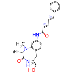 CC(C)C1C(=O)N[C@H](CO)Cc2ccc(NC(=O)/C=C/C=C/c3ccccc3)cc2N1C